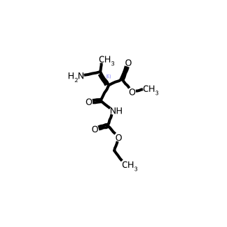 CCOC(=O)NC(=O)/C(C(=O)OC)=C(/C)N